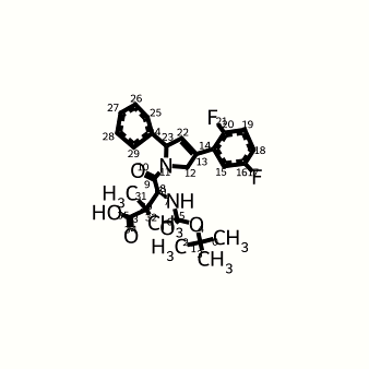 CC(C)(C)OC(=O)N[C@H](C(=O)N1CC(c2cc(F)ccc2F)=CC1c1ccccc1)C(C)(C)C(=O)O